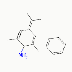 CC1=CC(=C(C)C)C=C(C)C1N.c1ccccc1